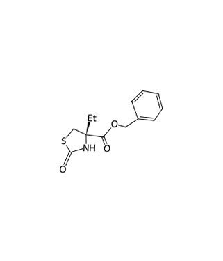 CC[C@]1(C(=O)OCc2ccccc2)CSC(=O)N1